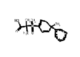 C=S(=O)(C1=CCC(C)(c2ccccc2)C=C1)C(C)(C)C(=O)O